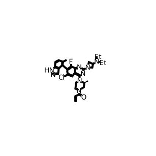 C=CC(=O)N1CCN(c2nc(N3CC(N(CC)CC)C3)nc3c(F)c(-c4c(C)ccc5[nH]ncc45)c(Cl)cc23)[C@@H](C)C1